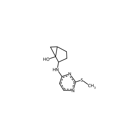 CSc1nccc(NC2CCC3CC32O)n1